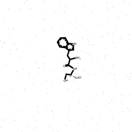 NC(Cc1c[nH]c2ccccc12)C(=O)N[C@H]([C]=O)CO